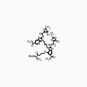 CCc1nc(C)oc1C(=O)/N=c1\sc2cc(C(N)=O)cnc2n1C/C=C/Cn1c(NC(=O)c2oc(C)nc2CC)nc2cc(C(N)=O)cc(OCCCC(=O)N(C)NC)c21